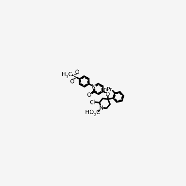 CCCc1ccccc1C1(Oc2ccn(-c3ccc(S(C)(=O)=O)cc3)c(=O)c2)CCN(C(=O)O)C(Cl)C1